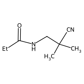 CCC(=O)NCC(C)(C)C#N